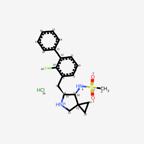 CS(=O)(=O)N[C@@H]1[C@H](Cc2cccc(-c3ccccc3)c2F)NCC12CC2.Cl